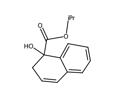 CC(C)OC(=O)C1(O)CC=Cc2ccccc21